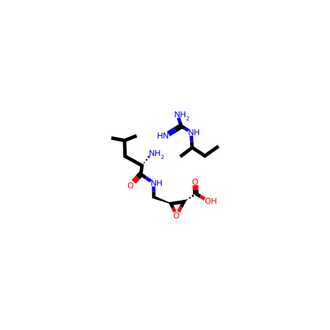 CC(C)C[C@H](N)C(=O)NC[C@@H]1O[C@H]1C(=O)O.CCC(C)NC(=N)N